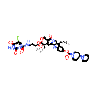 CCc1c2c(nc3ccc(OC(=O)N4CCC(N5CCCCC5)CC4)cc13)-c1cc3c(c(=O)n1C2)COC(=O)[C@@]3(CC)OCCCCNC(=O)n1cc(F)c(=O)[nH]c1=O